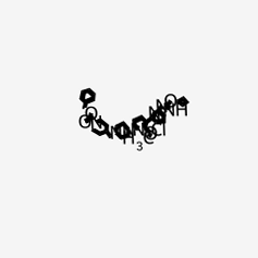 COc1nc(N2CCN(CC3CCN(C(=O)OCc4ccccc4)CC3)CC2)ccc1-c1nc2nc(OC3CCC3)[nH]c2cc1Cl